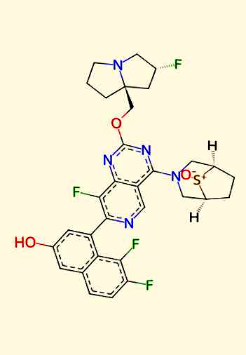 [O-][S+]1[C@@H]2CC[C@H]1CN(c1nc(OC[C@@]34CCCN3C[C@H](F)C4)nc3c(F)c(-c4cc(O)cc5ccc(F)c(F)c45)ncc13)C2